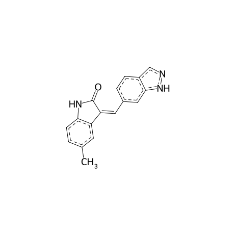 Cc1ccc2c(c1)C(=Cc1ccc3cn[nH]c3c1)C(=O)N2